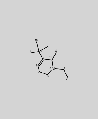 CCN1CCC=C(C(C)(C)C)C1C